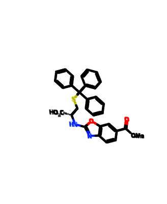 COC(=O)c1ccc2nc(N[C@@H](CSC(c3ccccc3)(c3ccccc3)c3ccccc3)C(=O)O)oc2c1